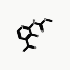 [CH2]C(=O)c1ccnc(NC(=O)OC)c1F